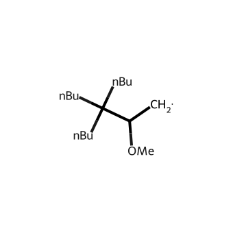 [CH2]C(OC)C(CCCC)(CCCC)CCCC